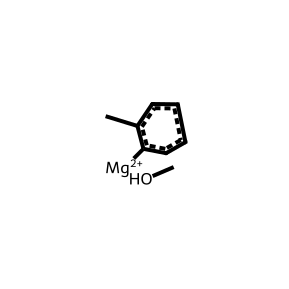 CO.Cc1cccc[c]1[Mg+2]